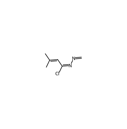 C=N/N=C(/Cl)C=C(C)C